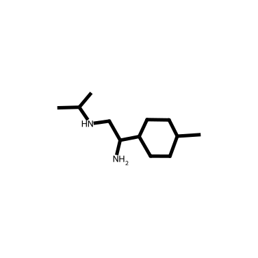 CC1CCC(C(N)CNC(C)C)CC1